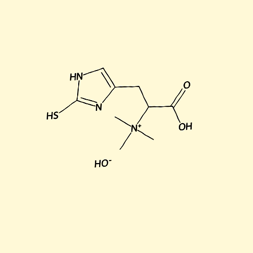 C[N+](C)(C)C(Cc1c[nH]c(S)n1)C(=O)O.[OH-]